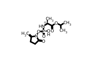 C=C1CCC(=O)N1O[P@](=O)(O)N[C@@H](C)C(=O)OC(C)C